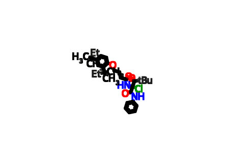 CCC(C)(C)c1ccc(OCCCC(=O)NC(Cl)(C(=O)Nc2ccccc2)C(=O)C(C)(C)C)c(C(C)(C)CC)c1